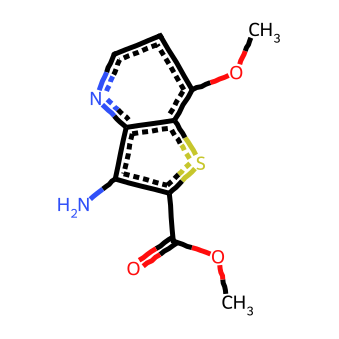 COC(=O)c1sc2c(OC)ccnc2c1N